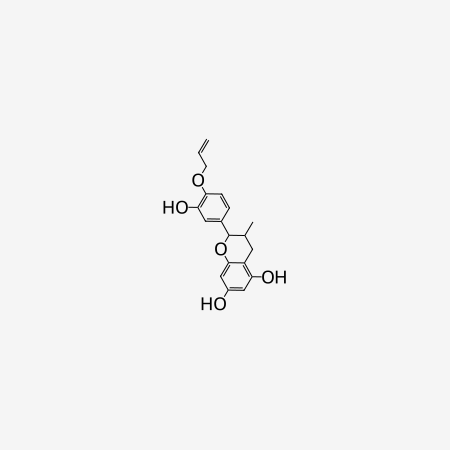 C=CCOc1ccc(C2Oc3cc(O)cc(O)c3CC2C)cc1O